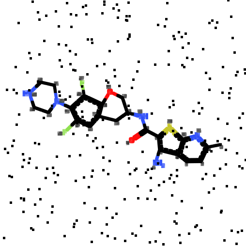 Cc1ccc2c(N)c(C(=O)N[C@@H]3COc4c(cc(F)c(N5CCNCC5)c4F)C3)sc2n1